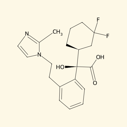 Cc1nccn1CCc1ccccc1[C@@](O)(C(=O)O)[C@H]1CCCC(F)(F)C1